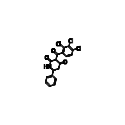 O=C1CC(c2ccccc2)NC(=O)C1C(=O)c1ccc(Cl)c(Cl)c1Cl